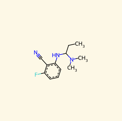 CCC(Nc1cccc(F)c1C#N)N(C)C